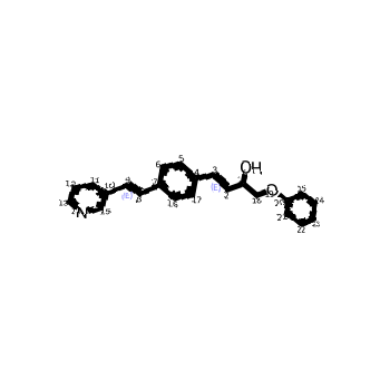 OC(/C=C/c1ccc(/C=C/c2cccnc2)cc1)COc1ccccc1